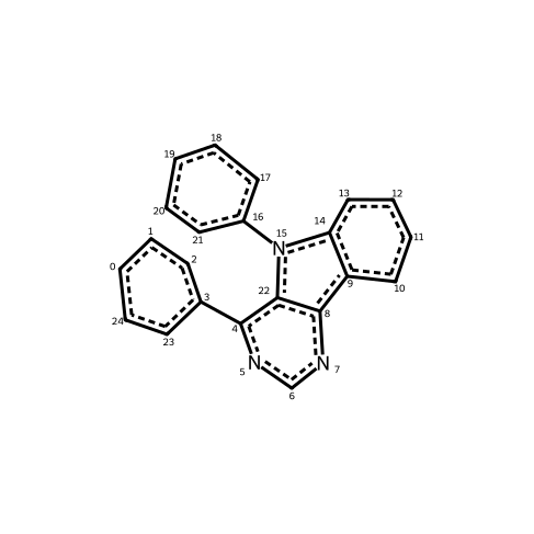 c1ccc(-c2ncnc3c4ccccc4n(-c4ccccc4)c23)cc1